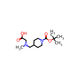 CN(CC(=O)O)CC1CCN(C(=O)OC(C)(C)C)CC1